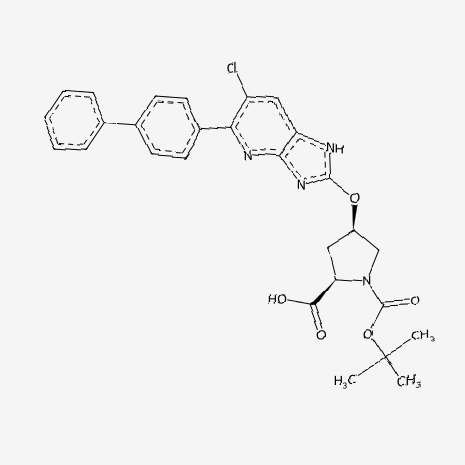 CC(C)(C)OC(=O)N1C[C@H](Oc2nc3nc(-c4ccc(-c5ccccc5)cc4)c(Cl)cc3[nH]2)C[C@@H]1C(=O)O